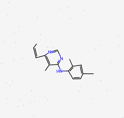 C/C=C\c1ncnc(Nc2ccc(C)cc2C)c1C